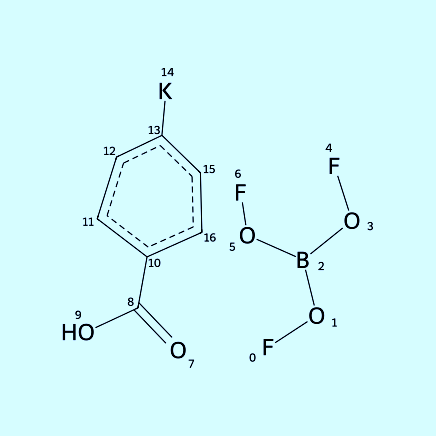 FOB(OF)OF.O=C(O)c1cc[c]([K])cc1